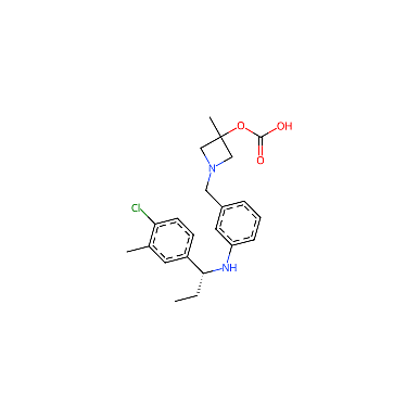 CC[C@@H](Nc1cccc(CN2CC(C)(OC(=O)O)C2)c1)c1ccc(Cl)c(C)c1